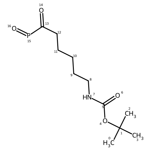 CC(C)(C)OC(=O)NCCCCCC(=O)P=O